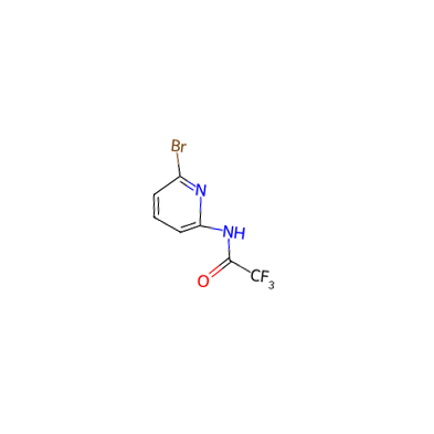 O=C(Nc1cccc(Br)n1)C(F)(F)F